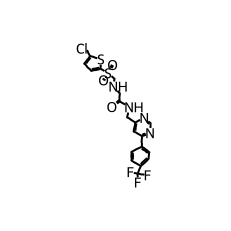 O=C(CNCS(=O)(=O)c1ccc(Cl)s1)NCc1cc(-c2ccc(C(F)(F)F)cc2)ncn1